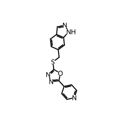 c1cc(-c2nnc(SCc3ccc4cn[nH]c4c3)o2)ccn1